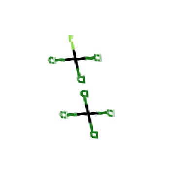 ClC(Cl)(Cl)Cl.FC(Cl)(Cl)Cl